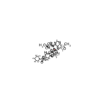 CC1OCc2c1c1ncnc(N(C(=O)OC(C)(C)C)C(=O)OC(C)(C)C)c1n2-c1ccc(Oc2cccc(NS(=O)(=O)c3ccccc3)c2)cc1